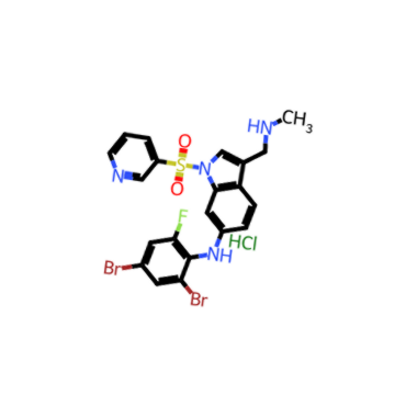 CNCc1cn(S(=O)(=O)c2cccnc2)c2cc(Nc3c(F)cc(Br)cc3Br)ccc12.Cl